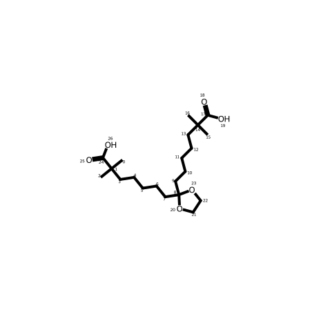 CC(C)(CCCCCC1(CCCCCC(C)(C)C(=O)O)OCCO1)C(=O)O